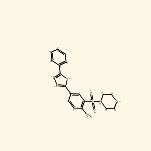 Cc1ccc(-c2nnc(-c3ccccc3)s2)cc1S(=O)(=O)N1CCOCC1